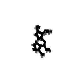 CC(C)c1nnn(CC(C)c2nn[nH]c2S)c1C(=O)O